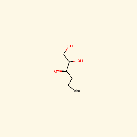 CCCCC[CH]C(=O)C(O)CO